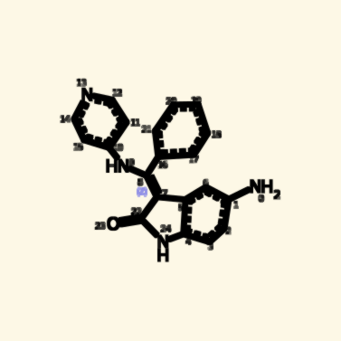 Nc1ccc2c(c1)/C(=C(/Nc1ccncc1)c1ccccc1)C(=O)N2